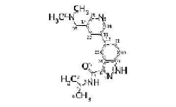 CC(C)NC(=O)c1n[nH]c2ccc(-c3cncc(CN(C)C)c3)cc12